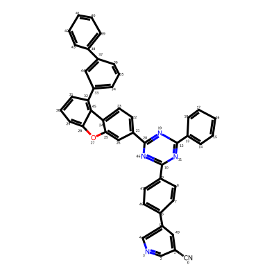 N#Cc1cncc(-c2ccc(-c3nc(-c4ccccc4)nc(-c4ccc5c(c4)oc4cccc(-c6cccc(-c7ccccc7)c6)c45)n3)cc2)c1